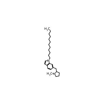 CCCCCCCCCCCCn1ccc2ccc(CC3CCCN3C)cc21